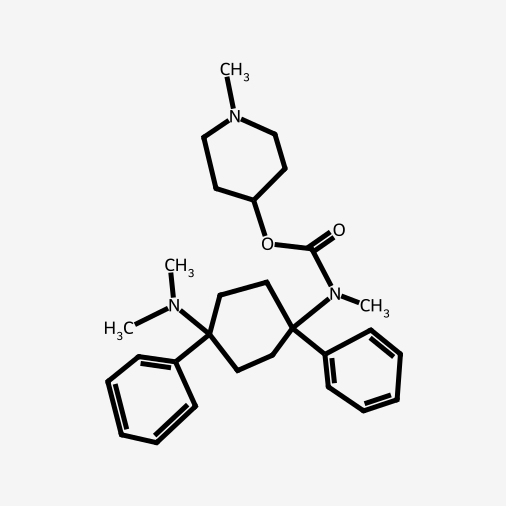 CN1CCC(OC(=O)N(C)C2(c3ccccc3)CCC(c3ccccc3)(N(C)C)CC2)CC1